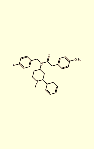 CC(C)COc1ccc(CC(=O)N(Cc2ccc(F)cc2)[C@@H]2CCN(C)[C@H](C3C=CC=CC3)C2)cc1